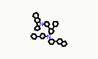 c1ccc(-c2ccc(N(c3cccc(-c4ccc5ccccc5c4)c3)c3ccc(-c4ccccc4)c(-c4cccc(-n5c6ccccc6c6cc7ccccc7cc65)c4)c3)cc2)cc1